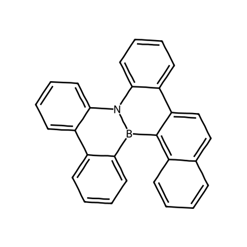 c1ccc2c(c1)B1c3c(ccc4ccccc34)-c3ccccc3N1c1ccccc1-2